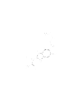 CCN(C(N)=O)c1nc2cc(Br)c(NCCOC)cc2s1